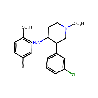 Cc1ccc(S(=O)(=O)O)cc1.NC1CCN(C(=O)O)CC1c1cccc(Cl)c1